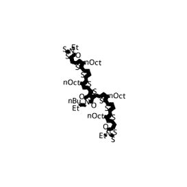 CCCCCCCCc1cc(/C=C2/SC(=S)N(CC)C2=O)sc1-c1ccc(-c2sc(-c3sc(-c4cc(CCCCCCCC)c(-c5ccc(-c6sc(/C=C7/SC(=S)N(CC)C7=O)cc6CCCCCCCC)s5)s4)c4c3C(=O)N(CC(CC)CCCC)C4=O)cc2CCCCCCCC)s1